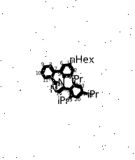 CCCCCCc1ccc2c(c1)c1ccccc1c1ncc(-c3c(C(C)C)cc(C(C)C)cc3C(C)C)n21